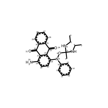 CCNC(C)(NCC)ON(c1ccccc1)c1ccc(N)c2c1C(=O)c1ccccc1C2=O